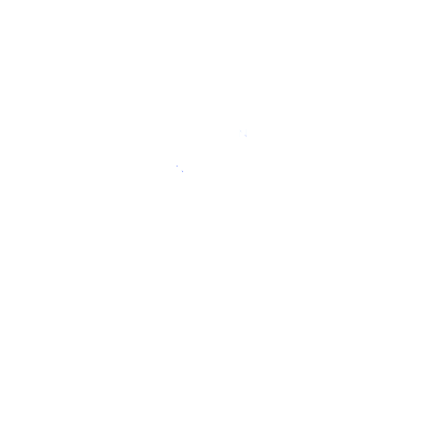 CCCN1CCN(c2cccc(C(C)=O)c2F)CC1